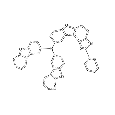 c1ccc(-c2nc3ccc4oc5ccc(N(c6ccc7oc8ccccc8c7c6)c6ccc7oc8ccccc8c7c6)cc5c4c3s2)cc1